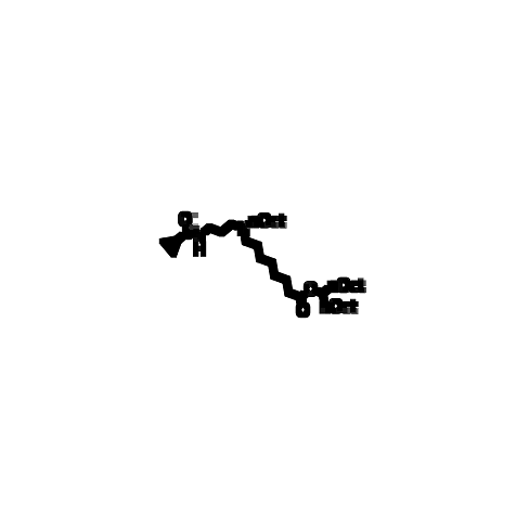 CCCCCCCCC(CCCCCCCC)OC(=O)CCCCCCCN(CCCCCCCC)CCCN[S+]([O-])C1CC1